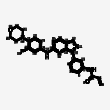 C=CC(=O)Nc1cccc(-n2ncc3cnc(Nc4ccc(N5CCOCC5)c(F)c4)nc32)c1